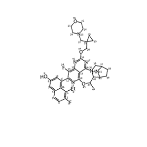 CCc1c(F)ccc2cc(O)cc(-c3nc4c5c(nc(OCC6(CN7CCOCC7)CC6)nc5c3F)N3CC5CCC(N5)C3C(C)O4)c12